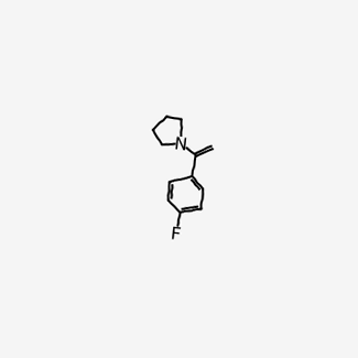 C=C(c1ccc(F)cc1)N1CCCC1